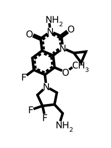 COc1c(N2CC(CN)C(F)(F)C2)c(F)cc2c(=O)n(N)c(=O)n(C3CC3)c12